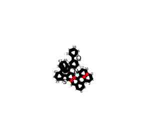 c1ccc(-c2cccc3cccc(-c4ccccc4N(c4ccc5c(c4)oc4ccccc45)c4ccc5sc6cccc(C78CC9CC(CC(C9)C7)C8)c6c5c4)c23)cc1